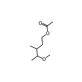 COC(C)C(C)CCOC(C)=O